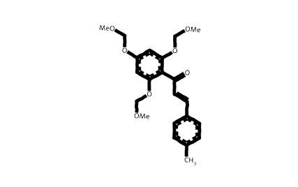 COCOc1cc(OCOC)c(C(=O)/C=C/c2ccc(C)cc2)c(OCOC)c1